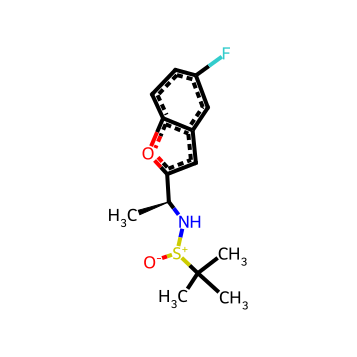 C[C@H](N[S+]([O-])C(C)(C)C)c1cc2cc(F)ccc2o1